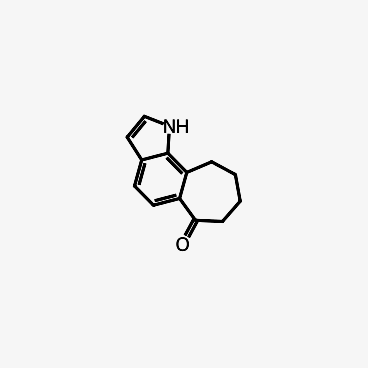 O=C1CCCCc2c1ccc1cc[nH]c21